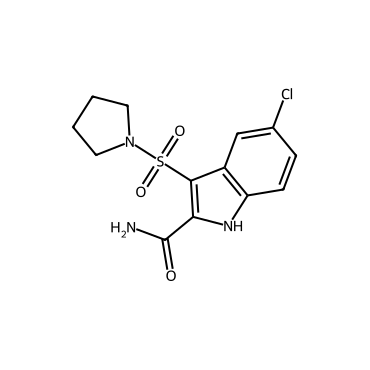 NC(=O)c1[nH]c2ccc(Cl)cc2c1S(=O)(=O)N1CCCC1